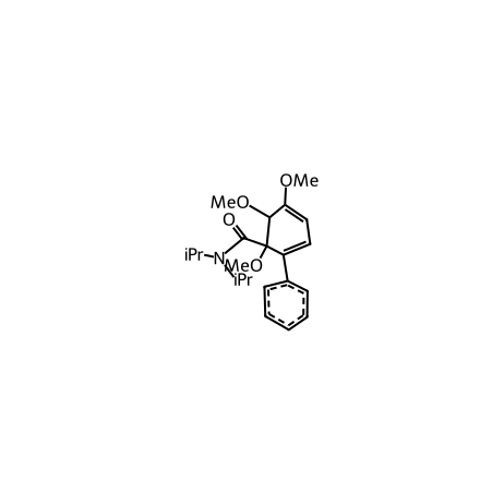 COC1=CC=C(c2ccccc2)C(OC)(C(=O)N(C(C)C)C(C)C)C1OC